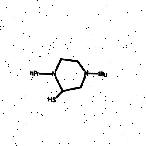 CCCN1CCN(C(C)(C)C)CC1S